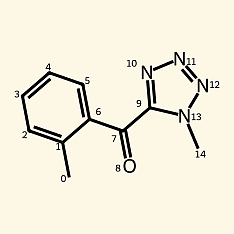 Cc1ccccc1C(=O)c1nnnn1C